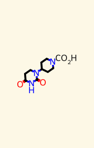 O=C1CCN(C2CCN(C(=O)O)CC2)C(=O)N1